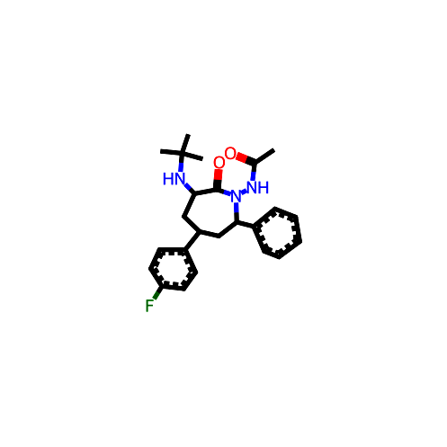 CC(=O)NN1C(=O)C(NC(C)(C)C)CC(c2ccc(F)cc2)CC1c1ccccc1